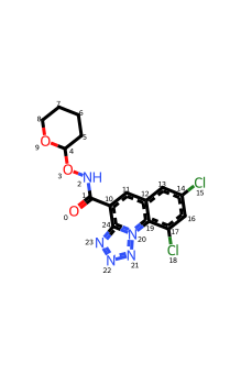 O=C(NOC1CCCCO1)c1cc2cc(Cl)cc(Cl)c2n2nnnc12